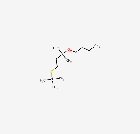 CCCCO[Si](C)(C)CCS[Si](C)(C)C